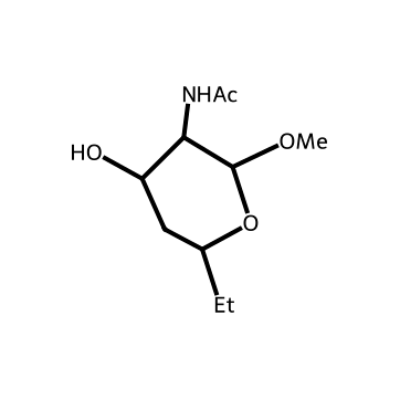 CCC1CC(O)C(NC(C)=O)C(OC)O1